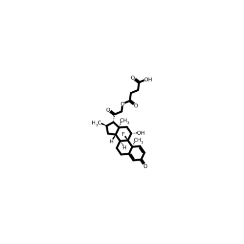 C[C@@H]1C[C@H]2[C@@H]3CCC4=CC(=O)C=C[C@]4(C)[C@@]3(F)[C@@H](O)C[C@]2(C)[C@H]1C(=O)COC(=O)CCC(=O)O